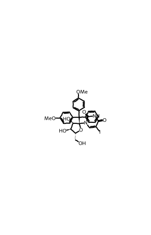 COc1ccc(C(c2ccccc2)(c2ccc(OC)cc2)[C@@]2(n3cc(I)c(=O)[nH]c3=O)O[C@H](CO)[C@@H](O)[C@H]2O)cc1